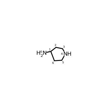 N[C]1CCNCC1